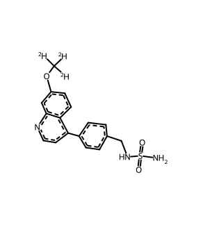 [2H]C([2H])([2H])Oc1ccc2c(-c3ccc(CNS(N)(=O)=O)cc3)ccnc2c1